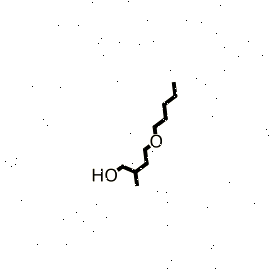 CCCCCOCCC(C)CO